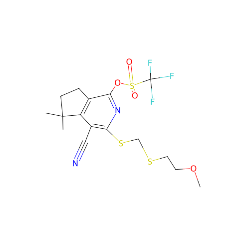 COCCSCSc1nc(OS(=O)(=O)C(F)(F)F)c2c(c1C#N)C(C)(C)CC2